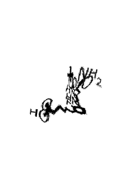 CC(C)(C)OC(=O)N[C@@H](CCC(N)=O)CNc1cccc(CCCCCC(=O)O)c1F